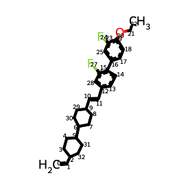 C=CC1CCC(C2CCC(/C=C/c3ccc(-c4ccc(OCC)c(F)c4)c(F)c3)CC2)CC1